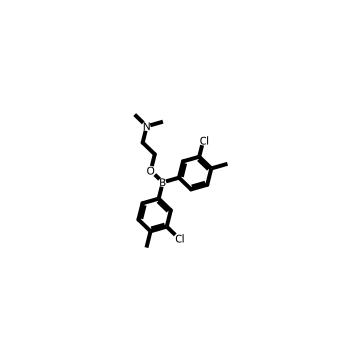 Cc1ccc(B(OCCN(C)C)c2ccc(C)c(Cl)c2)cc1Cl